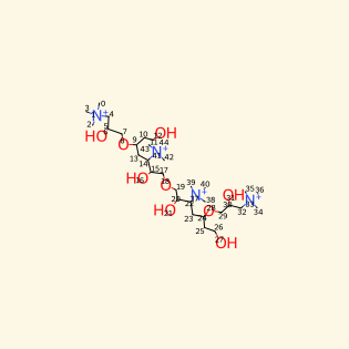 C[N+](C)(C)CC(O)COC(CCO)CC(C(O)COCC(O)C(CC(CCO)OCC(O)C[N+](C)(C)C)[N+](C)(C)C)[N+](C)(C)C